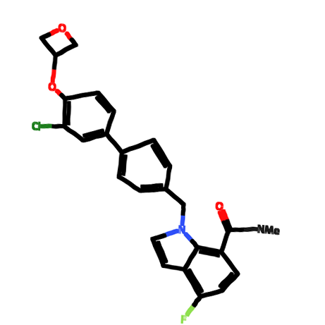 CNC(=O)c1ccc(F)c2ccn(Cc3ccc(-c4ccc(OC5COC5)c(Cl)c4)cc3)c12